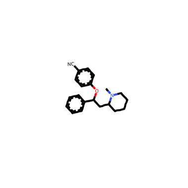 CN1CCCCC1CC(Oc1ccc(C#N)cc1)c1ccccc1